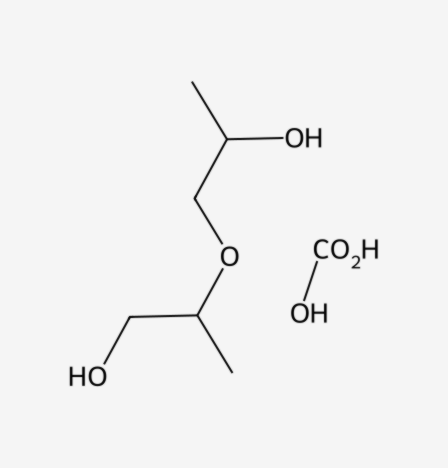 CC(O)COC(C)CO.O=C(O)O